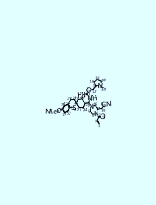 C=CC(=O)N1CCN(C2NC(OCC3CCCN3C)NC3C[C@@]4(CCc5cc(OC)ccc5S4)CCC32)CC1CC#N